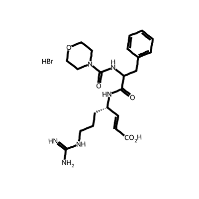 Br.N=C(N)NCCC[C@@H](/C=C/C(=O)O)NC(=O)C(Cc1ccccc1)NC(=O)N1CCOCC1